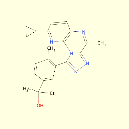 CCC(C)(O)c1ccc(C)c(-c2nnc3c(C)nc4ccc(C5CC5)nc4n23)c1